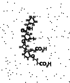 O=C(O)CCCOc1cccc(C2CC(Oc3cc(I)cc(C(=O)NCc4ccccc4)c3)C2)c1CCC(=O)O